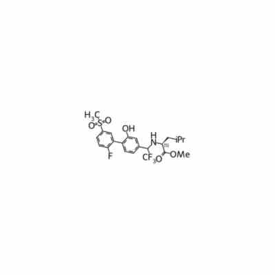 COC(=O)[C@H](CC(C)C)NC(c1ccc(-c2cc(S(C)(=O)=O)ccc2F)c(O)c1)C(F)(F)F